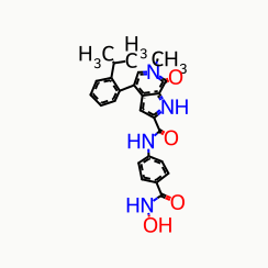 CC(C)c1ccccc1-c1cn(C)c(=O)c2[nH]c(C(=O)Nc3ccc(C(=O)NO)cc3)cc12